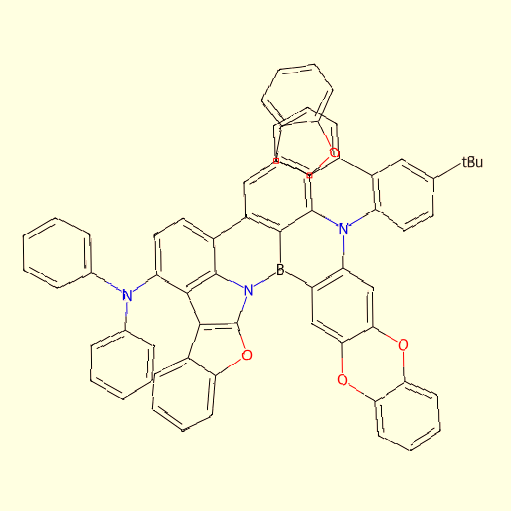 CC(C)(C)c1ccc(N2c3cc4c(cc3B3c5c(cc6c(oc7ccccc76)c52)-c2ccc(N(c5ccccc5)c5ccccc5)c5c6c7ccccc7oc6n3c25)Oc2ccccc2O4)c(-c2ccccc2)c1